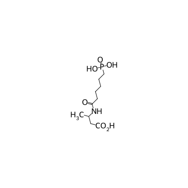 CC(CC(=O)O)NC(=O)CCCCCP(=O)(O)O